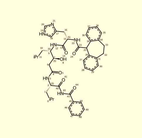 CC(C)C[C@H](NC(=O)C[C@H](O)[C@H](CC(C)C)NC(=O)[C@H](Cc1c[nH]cn1)NC(=O)C1c2ccccc2CCc2ccccc21)C(=O)NC(=O)c1ccccc1